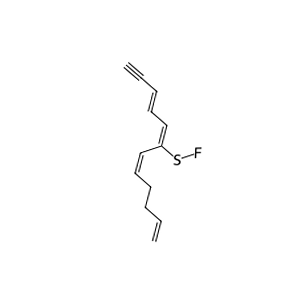 C#C/C=C/C=C(\C=C/CCC=C)SF